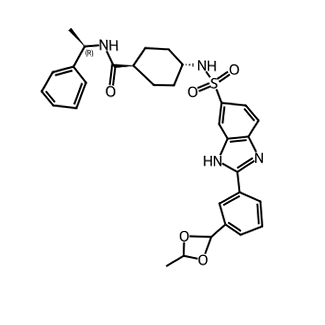 CC1OC(c2cccc(-c3nc4ccc(S(=O)(=O)N[C@H]5CC[C@H](C(=O)N[C@H](C)c6ccccc6)CC5)cc4[nH]3)c2)O1